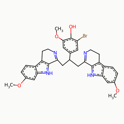 COc1ccc2c3c([nH]c2c1)C(CC(CC1=NCCc2c1[nH]c1cc(OC)ccc21)c1cc(Br)c(O)c(OC)c1)=NCC3